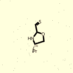 CC(C)[C@H]1COC(C=S)N1